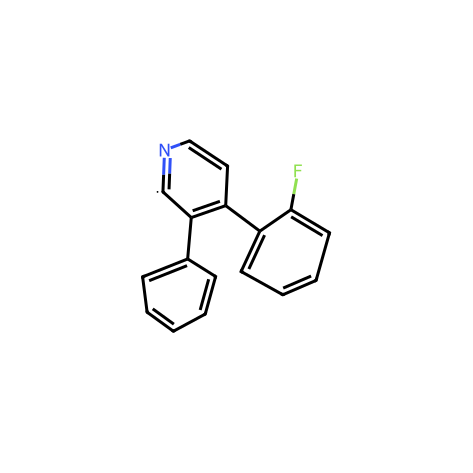 Fc1ccccc1-c1ccn[c]c1-c1ccccc1